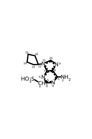 CS(=O)(=O)O.Nc1ncnc2c1ncn2C1CCCC1